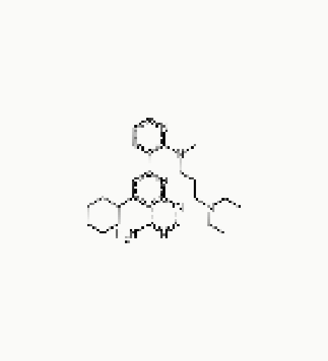 CCN(CC)CCCN(C)c1ncccc1-c1cc(C2CCCCC2)c2c(N)ncnc2n1